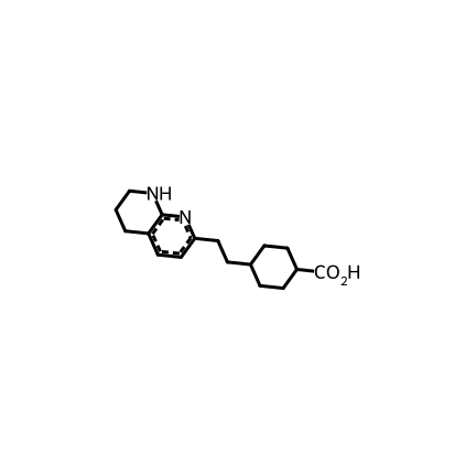 O=C(O)C1CCC(CCc2ccc3c(n2)NCCC3)CC1